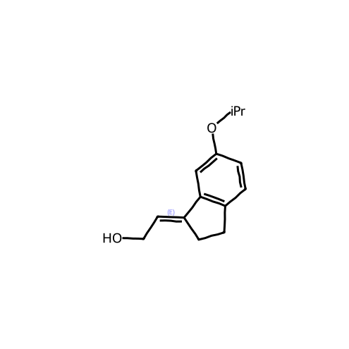 CC(C)Oc1ccc2c(c1)/C(=C/CO)CC2